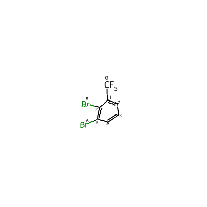 FC(F)(F)c1cc[c]c(Br)c1Br